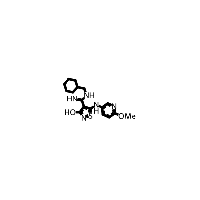 COc1ccc(Nc2snc(O)c2C(=N)NCC2CCCCC2)cn1